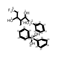 CC(O)C(C)C(O)CC(F)(F)F.O=C(O)c1ccccc1.O[PH](O)(c1ccccc1)c1ccccc1